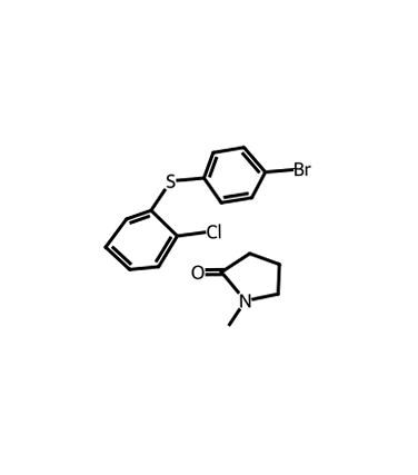 CN1CCCC1=O.Clc1ccccc1Sc1ccc(Br)cc1